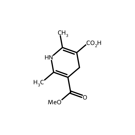 COC(=O)C1=C(C)NC(C)=C(C(=O)O)C1